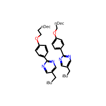 CCCCCCCCCCCCOc1ccc(-c2ncc(CC(C)CC)cn2)cc1.CCCCCCCCCCCOc1ccc(-c2ncc(CC(C)CC)cn2)cc1